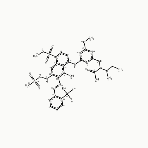 CCC(C)C(Nc1nc(Nc2ccc(S(=O)(=O)OC)c3cc(NOS(C)(=O)=O)c(N=Nc4ccccc4C(F)(F)F)c(O)c23)nc(OC)n1)C(=O)O